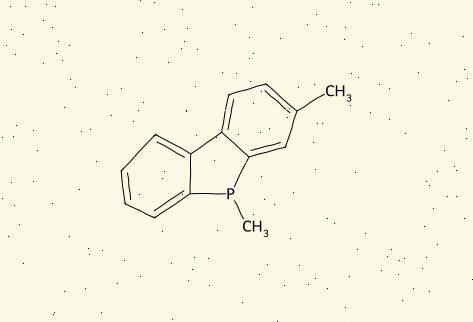 Cc1ccc2c3ccccc3p(C)c2c1